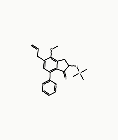 C=CCc1cc(-c2ccccn2)c2c(c1OC)CC(O[Si](C)(C)C)C2=O